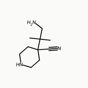 CC(C)(CN)C1(C#N)CCNCC1